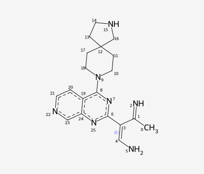 CC(=N)/C(=C\N)c1nc(N2CCC3(CCNC3)CC2)c2ccncc2n1